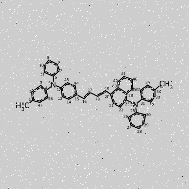 Cc1ccc(N(c2ccccc2)c2ccc(/C=C/C=C/c3ccc(N(c4ccccc4)c4ccc(C)cc4)c4ccccc34)cc2)cc1